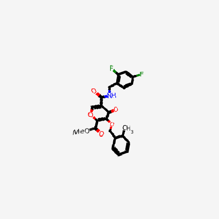 COC(=O)c1occ(C(=O)NCc2ccc(F)cc2F)c(=O)c1OCC1C=CC=CC1C